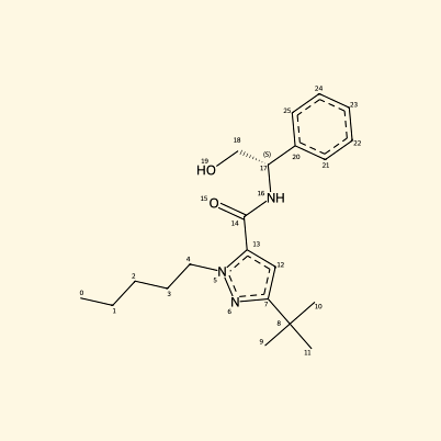 CCCCCn1nc(C(C)(C)C)cc1C(=O)N[C@H](CO)c1ccccc1